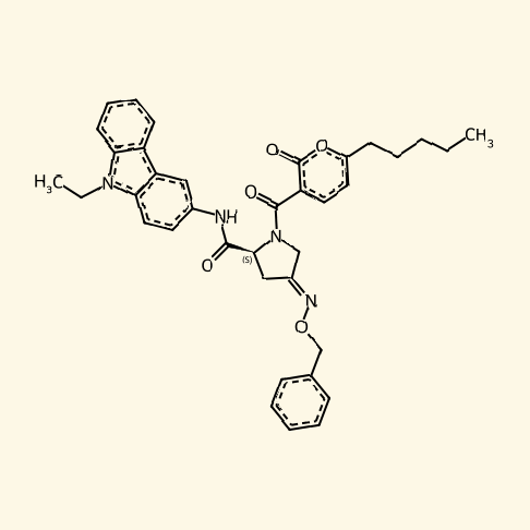 CCCCCc1ccc(C(=O)N2CC(=NOCc3ccccc3)C[C@H]2C(=O)Nc2ccc3c(c2)c2ccccc2n3CC)c(=O)o1